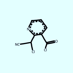 N#CC(Cl)c1ncccc1C(=O)Cl